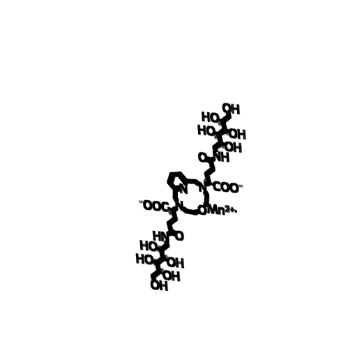 O=C(CC[C@H](C(=O)[O-])N1CCOCCN([C@H](CCC(=O)NC[C@H](O)[C@@H](O)[C@H](O)[C@H](O)CO)C(=O)[O-])Cc2cccc(n2)C1)NC[C@H](O)[C@@H](O)[C@H](O)[C@H](O)CO.[Mn+2]